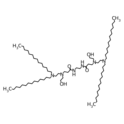 CCCCCCCCCCCCCCN(CCCCCCCCCCCCCC)CCN(CCO)CCC(=O)NCCNC(=O)CCN(CCO)CCN(CCCCCCCCCCCCCC)CCCCCCCCCCCCCC